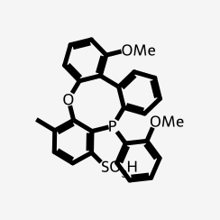 COc1ccccc1-p1c2ccccc2c2c(OC)cccc2oc2c(C)ccc(S(=O)(=O)O)c21